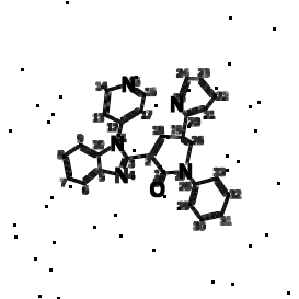 O=c1c(-c2nc3ccccc3n2-c2ccncc2)cc(-c2ccccn2)cn1-c1ccccc1